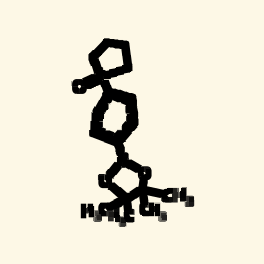 CC1(C)OB(c2ccc(P3(=O)CCCC3)cc2)OC1(C)C